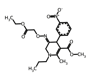 CCCN1CC(=NOCC(=O)OCC)C(c2cccc([N+](=O)[O-])c2)C(C(=O)OC)=C1C